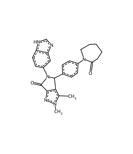 Cc1c2c(nn1C)C(=O)N(c1ccc3[nH]cnc3c1)C2c1ccc(N2CCCCCC2=O)cc1